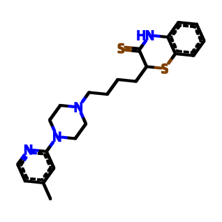 Cc1ccnc(N2CCN(CCCCC3Sc4ccccc4NC3=S)CC2)c1